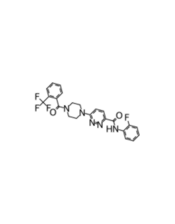 O=C(Nc1ccccc1F)c1ccc(N2CCN(C(=O)c3ccccc3C(F)(F)F)CC2)nn1